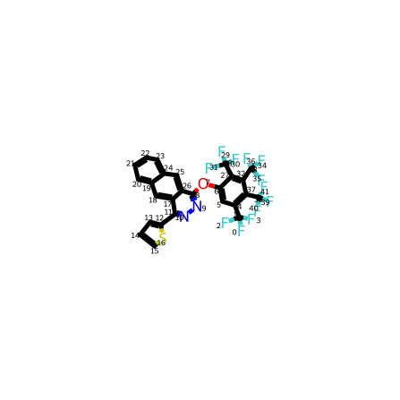 FC(F)(F)c1cc(Oc2nnc(-c3cccs3)c3cc4ccccc4cc23)c(C(F)(F)F)c(C(F)(F)F)c1C(F)(F)F